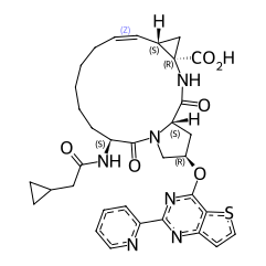 O=C(CC1CC1)N[C@H]1CCCCC/C=C\[C@@H]2C[C@@]2(C(=O)O)NC(=O)[C@@H]2C[C@@H](Oc3nc(-c4ccccn4)nc4ccsc34)CN2C1=O